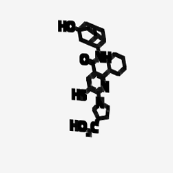 O=C(NC1C2CC3CC1CC(O)(C3)C2)c1cc(S)c(N2CC[C@@H](C(=O)O)C2)nc1C1CCCCC1